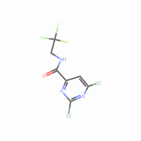 O=C(NCC(F)(F)F)c1cc(Cl)nc(Cl)n1